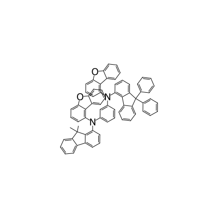 CC1(C)c2ccccc2-c2cccc(N(c3cccc(N(c4cccc5c4-c4ccccc4C5(c4ccccc4)c4ccccc4)c4cccc5oc6ccccc6c45)c3)c3cccc4oc5ccccc5c34)c21